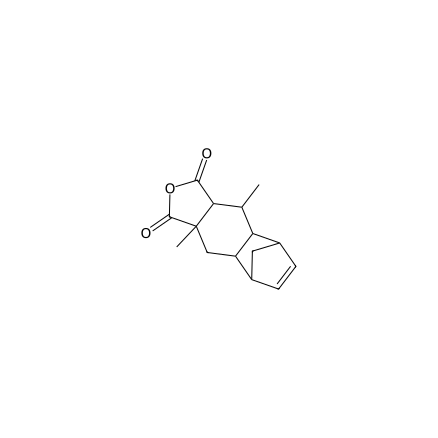 CC1C2C3C=CC(C3)C2CC2(C)C(=O)OC(=O)C12